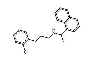 CC(NCCCc1ccccc1Cl)c1cccc2ccccc12